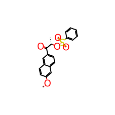 COc1ccc2cc(C(=O)[C@H](C)OS(=O)(=O)c3ccccc3)ccc2c1